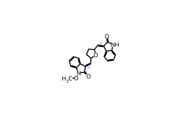 CON1C(=O)/C(=C/C2CCC(/C=C3/C(=O)Nc4ccccc43)O2)c2ccccc21